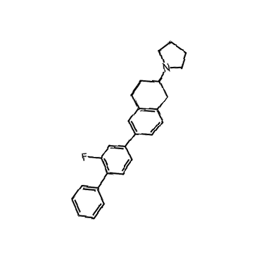 Fc1cc(-c2ccc3c(c2)CCC(N2CCCC2)C3)ccc1-c1ccccc1